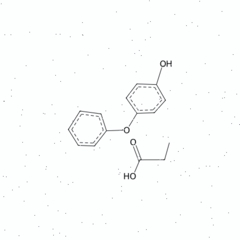 CCC(=O)O.Oc1ccc(Oc2ccccc2)cc1